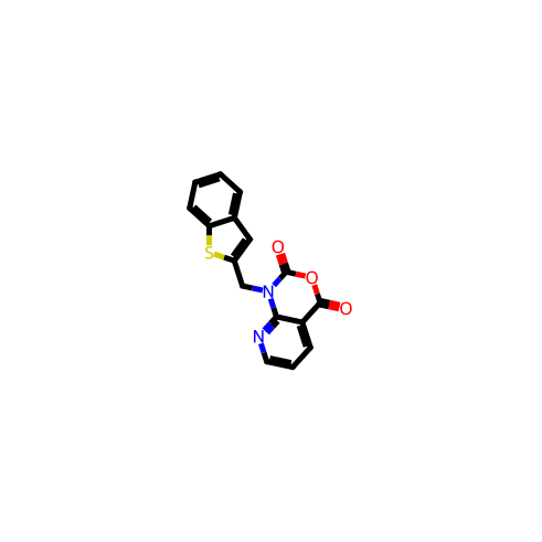 O=c1oc(=O)n(Cc2cc3ccccc3s2)c2ncccc12